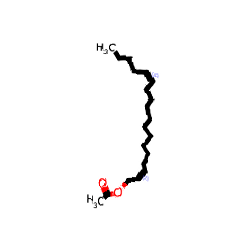 CCCC/C=C\CCCCCCCCC/C=C\COC(C)=O